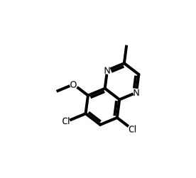 COc1c(Cl)cc(Cl)c2ncc(C)nc12